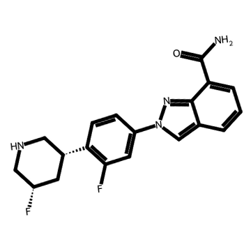 NC(=O)c1cccc2cn(-c3ccc([C@H]4CNC[C@@H](F)C4)c(F)c3)nc12